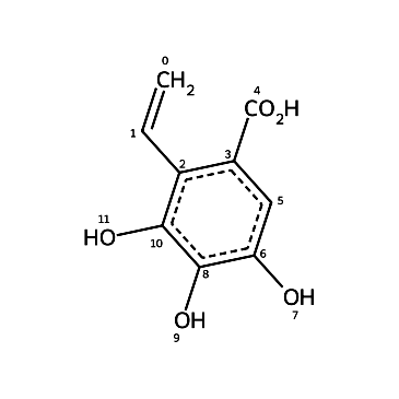 C=Cc1c(C(=O)O)cc(O)c(O)c1O